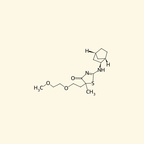 COCCOCCC1(C)SC(N[C@H]2C[C@@H]3CC[C@H]2C3)=NC1=O